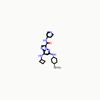 CC(=O)N[C@H]1CC[C@H](Nc2cc(NC3CCC3)c3ncc(C(=O)Nc4ccncc4)n3n2)CC1